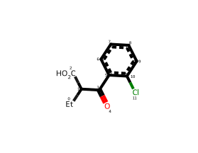 CCC(C(=O)O)C(=O)c1ccccc1Cl